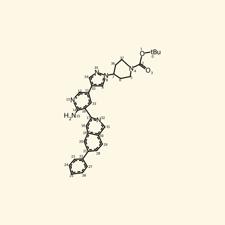 CC(C)(C)OC(=O)N1CCC(n2cc(-c3cnc(N)c(-c4cc5cc(-c6ccccc6)ccc5cn4)c3)cn2)CC1